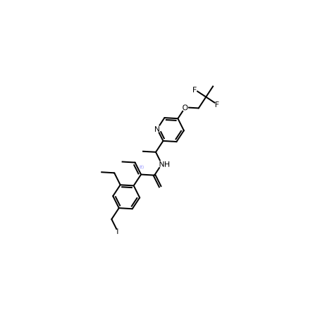 C=C(NC(C)c1ccc(OCC(C)(F)F)cn1)/C(=C/C)c1ccc(CI)cc1CC